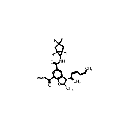 C=C(/C=C\C=C/C)[C@@H]1c2cc(C(=O)N[C@H]3[C@@H]4CC(F)(F)C[C@@H]43)cc(C(=O)NC)c2O[C@@H]1C